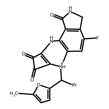 Cc1ccc(C(Nc2c(Nc3c(F)cc(F)c4c3C(=O)NC4)c(=O)c2=O)C(C)C)o1